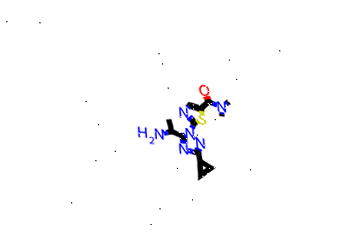 CC(N)c1nc(C2CC2)nn1-c1ncc(C(=O)N(C)C)s1